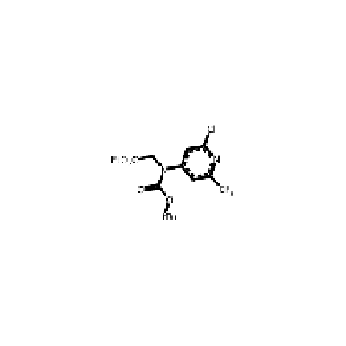 CCOC(=O)CN(C(=O)OC(C)(C)C)c1cc(Cl)nc(C(F)(F)F)c1